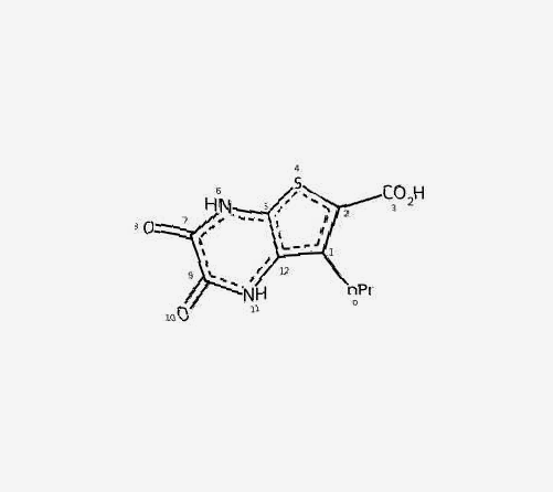 CCCc1c(C(=O)O)sc2[nH]c(=O)c(=O)[nH]c12